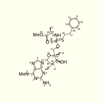 CNc1nc(N)nc2c1ncn2[C@@H]1O[C@](F)(COP(=S)(N[C@H](C)C(=O)OC)SCCc2ccccc2)[C@@H](O)[C@@]1(C)F